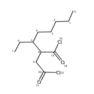 CCCCCC(CC)C(CC(=O)Cl)C(=O)Cl